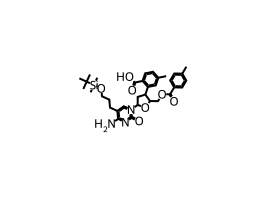 Cc1ccc(C(=O)OCC2OC(n3cc(CCCO[Si](C)(C)C(C)(C)C)c(N)nc3=O)CC2c2cc(C)ccc2C(=O)O)cc1